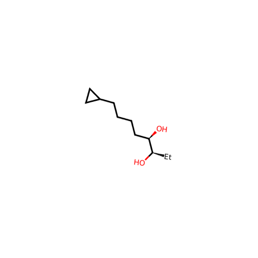 CC[C@@H](O)[C@H](O)CCCCC1CC1